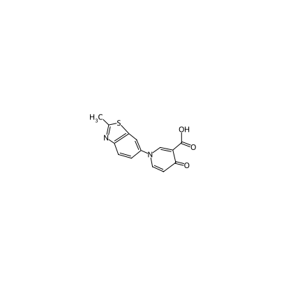 Cc1nc2ccc(-n3ccc(=O)c(C(=O)O)c3)cc2s1